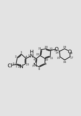 Clc1ccc(Nc2nccc3cc(OC4CCCOC4)ccc23)cn1